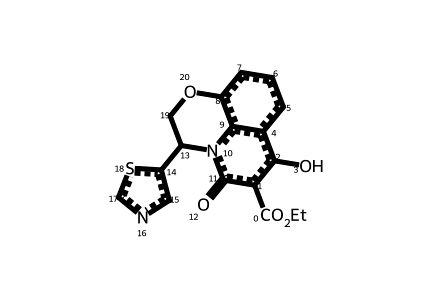 CCOC(=O)c1c(O)c2cccc3c2n(c1=O)C(c1cncs1)CO3